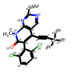 CSc1ncc2c(C#C[Si](C(C)C)(C(C)C)C(C)C)c(-c3c(Cl)cccc3Cl)c(=O)n(C)c2n1